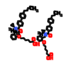 [2H]C([2H])(c1ccccc1OCCCCCC(=O)O)N(C(=O)c1ccc(-c2ccc(CCCC)cc2)cc1)C1CC1.[2H]C1(N(Cc2ccccc2OCCCCCC(=O)O)C(=O)c2ccc(-c3ccc(CCC)cc3)cc2)CC1